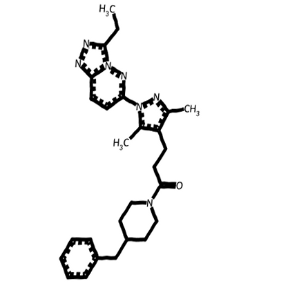 CCc1nnc2ccc(-n3nc(C)c(CCC(=O)N4CCC(Cc5ccccc5)CC4)c3C)nn12